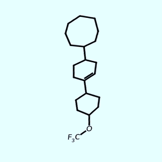 FC(F)(F)OC1CCC(C2=CCC(C3CCCCCCC3)CC2)CC1